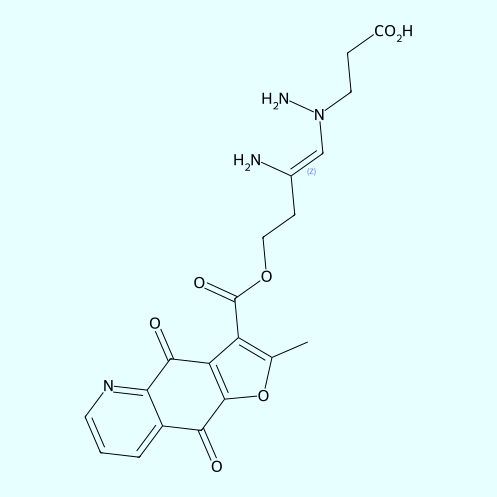 Cc1oc2c(c1C(=O)OCC/C(N)=C/N(N)CCC(=O)O)C(=O)c1ncccc1C2=O